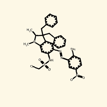 CC1N(C)c2cc(NS(=O)(=O)CCl)c(N=Nc3cc([N+](=O)[O-])ccc3O)cc2C1(Cc1ccccc1)Cc1ccccc1